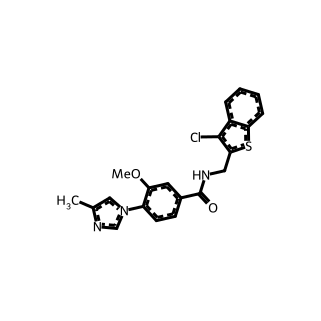 COc1cc(C(=O)NCc2sc3ccccc3c2Cl)ccc1-n1cnc(C)c1